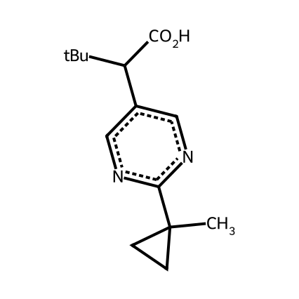 CC1(c2ncc(C(C(=O)O)C(C)(C)C)cn2)CC1